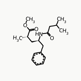 COC(=O)[C@@H](C)C[C@H](Cc1ccccc1)NC(=O)CC(C)C